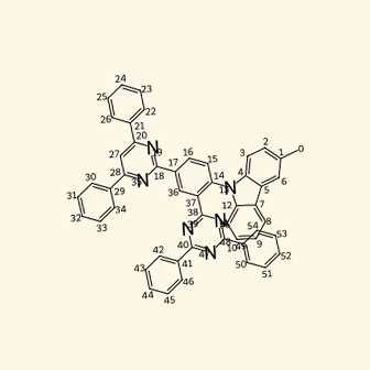 Cc1ccc2c(c1)c1ccccc1n2-c1ccc(-c2nc(-c3ccccc3)cc(-c3ccccc3)n2)cc1-c1nc(-c2ccccc2)nc(-c2ccccc2)n1